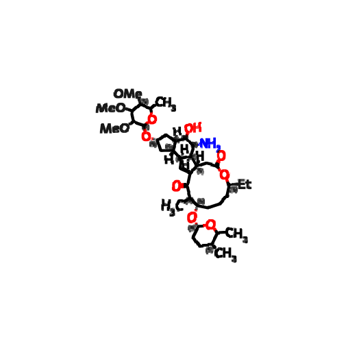 CC[C@H]1CCC[C@H](O[C@H]2CC[C@H](C)C(C)O2)[C@@H](C)C(=O)C2=C[C@H]3[C@@H]4C[C@H](O[C@@H]5OC(C)[C@H](OC)C(OC)C5OC)C[C@H]4[C@@H](O)[C@H](N)[C@H]3[C@@H]2CC(=O)O1